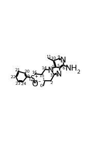 CCCc1nc2c(N)ncc(C)c2n1CCC[S+]([O-])c1ccccc1